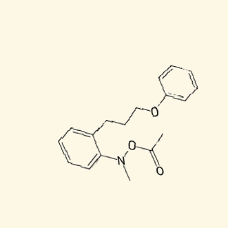 CC(=O)ON(C)c1ccccc1CCCOc1ccccc1